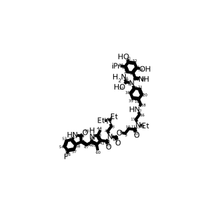 CCN(CC)CCN(C(=O)OCCC(=O)N(CC)CCNCc1ccc(N(C(=N)c2cc(C(C)C)c(O)cc2O)C(N)O)cc1)C(=O)c1c(C)[nH]c(/C=C2\C(=O)Nc3ccc(F)cc32)c1C